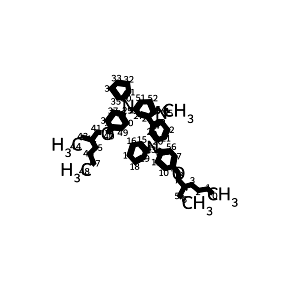 CCCCC(CC)COc1ccc(N(c2ccccc2)c2ccc3c(c2)c2cc(N(c4ccccc4)c4ccc(OCC(CC)CCCC)cc4)ccc2n3C)cc1